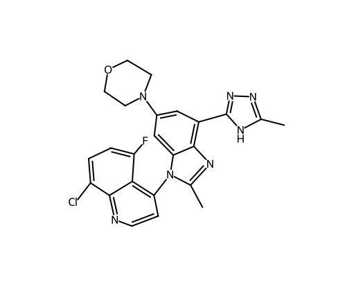 Cc1nnc(-c2cc(N3CCOCC3)cc3c2nc(C)n3-c2ccnc3c(Cl)ccc(F)c23)[nH]1